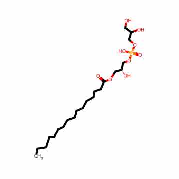 CCCCCCCCCCCCCCCC(=O)OC[C@@H](O)COP(=O)(O)OCC(O)CO